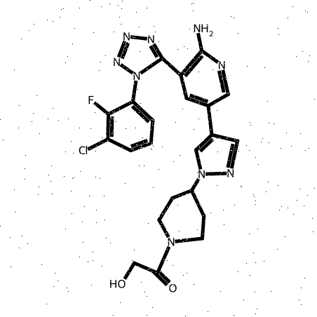 Nc1ncc(-c2cnn(C3CCN(C(=O)CO)CC3)c2)cc1-c1nnnn1-c1cccc(Cl)c1F